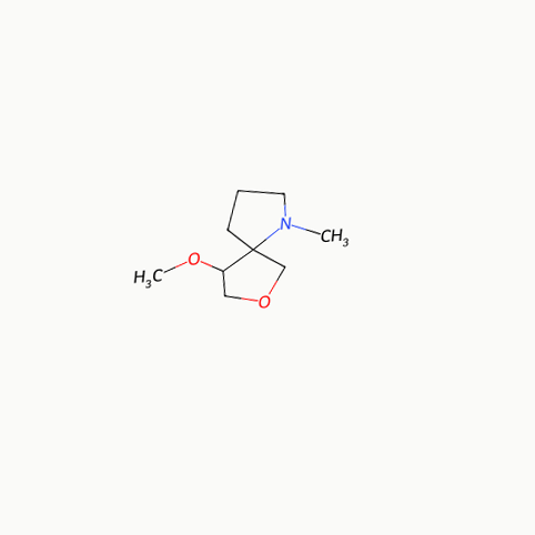 COC1COCC12CCCN2C